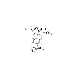 C=CCC(CC(C)C)(C(=O)O)c1ccc(C2(N)COC2)cc1